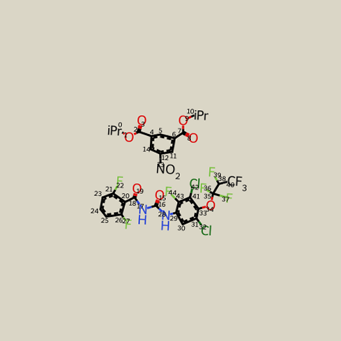 CC(C)OC(=O)c1cc(C(=O)OC(C)C)cc([N+](=O)[O-])c1.O=C(NC(=O)c1c(F)cccc1F)Nc1cc(Cl)c(OC(F)(F)C(F)C(F)(F)F)c(Cl)c1F